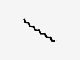 [CH2]C=CC=CCCCCCCC=C